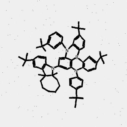 CC(C)(C)c1ccc(N2c3ccc(C(C)(C)C)cc3B3c4ccc(C(C)(C)C)cc4N(c4cccc(C(C)(C)C)c4)c4cc(N5c6ccc(C(C)(C)C)cc6C6(C)CCCCCCC56C)cc2c43)cc1